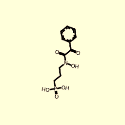 O=C(C(=O)N(O)CCCP(=O)(O)O)c1ccccc1